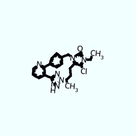 CCCCc1c(Cl)n(CC)c(=O)n1Cc1ccc(-c2ncccc2-c2nnn[nH]2)cc1